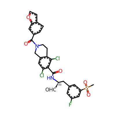 CS(=O)(=O)c1cc(F)cc(C[C@@H](C=O)NC(=O)c2c(Cl)cc3c(c2Cl)CCN(C(=O)c2ccc4ccoc4c2)C3)c1